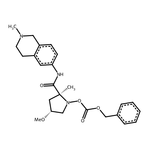 CO[C@H]1CN(OC(=O)OCc2ccccc2)[C@](C)(C(=O)Nc2ccc3c(c2)CCN(C)C3)C1